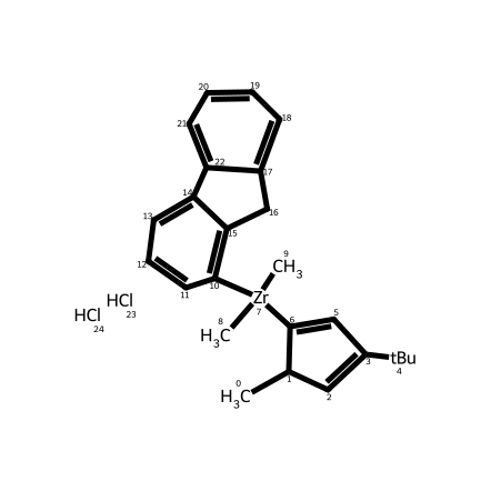 CC1C=C(C(C)(C)C)C=[C]1[Zr]([CH3])([CH3])[c]1cccc2c1Cc1ccccc1-2.Cl.Cl